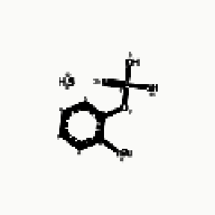 CCCCc1ccccc1OP(O)(=S)S.S